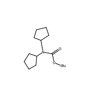 CC(C)(C)OC(=O)N(C1CCCC1)C1CCCC1